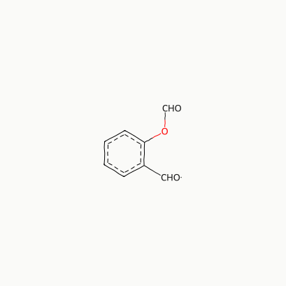 O=[C]c1ccccc1OC=O